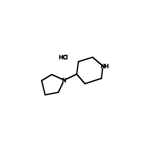 C1CCN(C2CCNCC2)C1.Cl